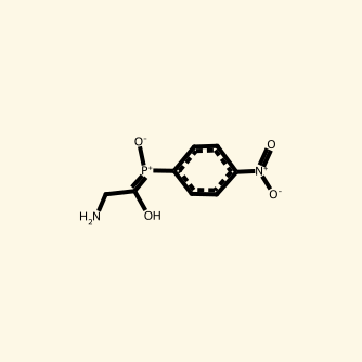 NC/C(O)=[P+](\[O-])c1ccc([N+](=O)[O-])cc1